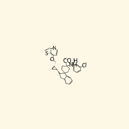 O=C(O)C1(Nc2cccc(Cl)c2)CCC2(CC1)c1ccccc1CC2[C@H]1C[C@@H]1COc1ccnc2ccsc12